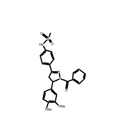 COc1ccc(C2CC(c3ccc(NS(C)(=O)=O)cc3)=NN2C(=O)c2ccccc2)cc1OC